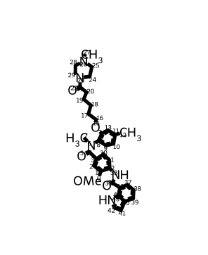 COc1cc(C(=O)N(C)c2ccc(C)cc2OCCCCCC(=O)N2CCN(C)CC2)ccc1NC(=O)c1cccc2cc[nH]c12